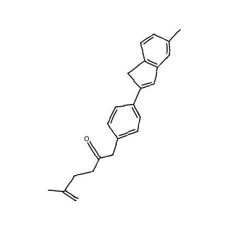 C=C(C)CCC(=O)Cc1ccc(C2=Cc3cc(C)ccc3C2)cc1